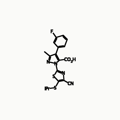 Cc1nn(-c2nc(C#N)c(SC(C)C)s2)c(C(=O)O)c1-c1cccc(F)c1